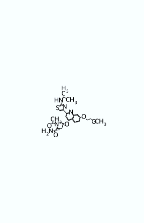 COCCOc1ccc2c(O[C@@H]3C[C@@H](C(N)=O)N(C(C)=O)C3)cc(-c3csc(NC(C)C)n3)nc2c1